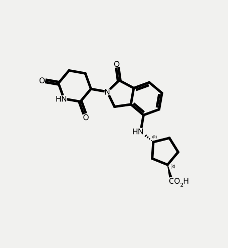 O=C1CCC(N2Cc3c(N[C@@H]4CC[C@@H](C(=O)O)C4)cccc3C2=O)C(=O)N1